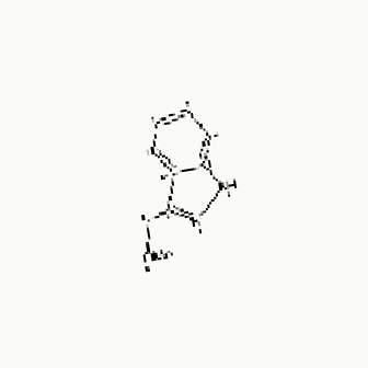 COCc1n[nH]c2cc[c]cc12